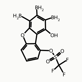 Bc1c(B)c(O)c2c(oc3cccc(OS(=O)(=O)C(F)(F)F)c32)c1B